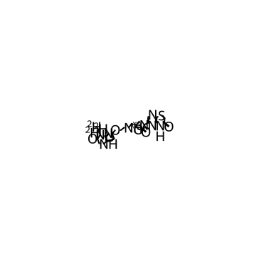 [2H]C([2H])([2H])N1C(=O)CNc2ccc(OCCNC[C@H]3CN(c4cnc5c(n4)NC(=O)CS5)C(=O)O3)nc21